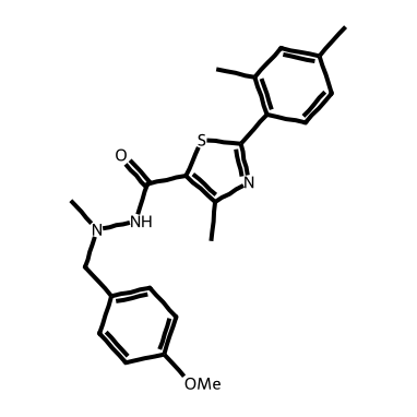 COc1ccc(CN(C)NC(=O)c2sc(-c3ccc(C)cc3C)nc2C)cc1